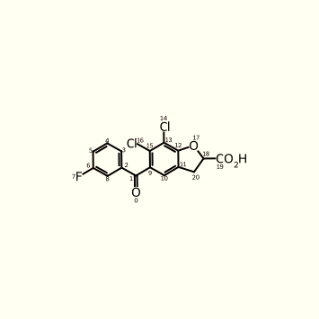 O=C(c1cccc(F)c1)c1cc2c(c(Cl)c1Cl)OC(C(=O)O)C2